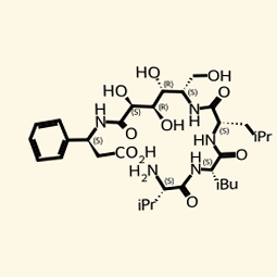 CCC(C)[C@H](NC(=O)[C@@H](N)C(C)C)C(=O)N[C@@H](CC(C)C)C(=O)N[C@@H](CO)[C@@H](O)[C@@H](O)[C@H](O)C(=O)N[C@@H](CC(=O)O)c1ccccc1